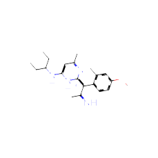 CCC(CC)NC1=CC(C)=N/C(=C(/C(C)=N)c2ccc(OC)cc2C)N1